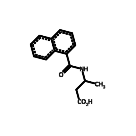 CC(CC(=O)O)NC(=O)c1cccc2ccccc12